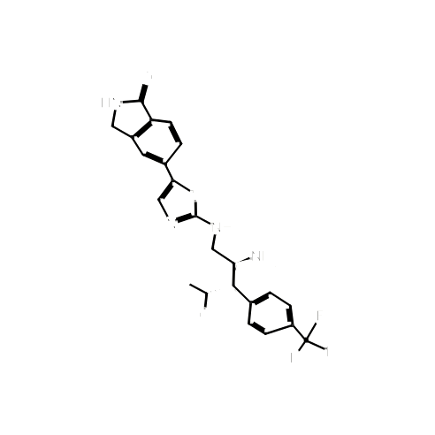 CC(O)[C@@H](c1ccc(C(F)(F)F)cc1)[C@H](N)CNc1ncc(-c2ccc3c(c2)CNC3=O)s1